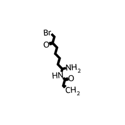 C=CC(=O)NC(N)CCCCC(=O)CBr